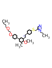 CCCCOCCOc1ccc(-c2cc(C)c(OC)c(/C=C/c3ccc(SCc4cncn4CCC)cc3)c2)cc1